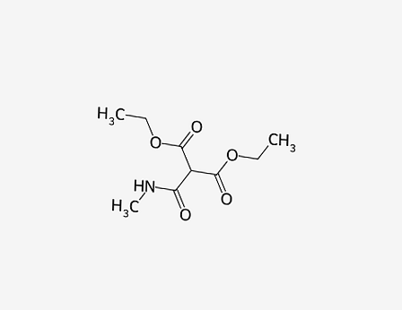 CCOC(=O)C(C(=O)NC)C(=O)OCC